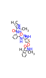 CCn1nc(C)cc1C(=O)Nc1ccccc1C(=O)Nc1n[nH]c2sc(OC(=O)NC(C)(C)c3ccccc3)cc12